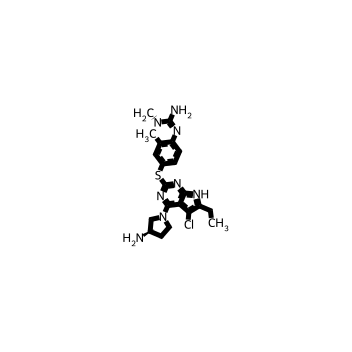 C=N/C(N)=N\c1ccc(Sc2nc(N3CC[C@@H](N)C3)c3c(Cl)c(CC)[nH]c3n2)cc1C